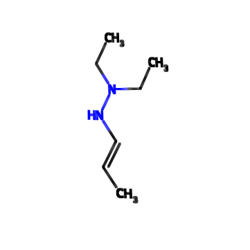 CC=CNN(CC)CC